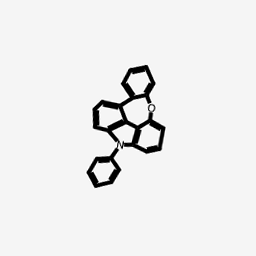 c1ccc(-n2c3cccc4oc5ccccc5c5cccc2c5c43)cc1